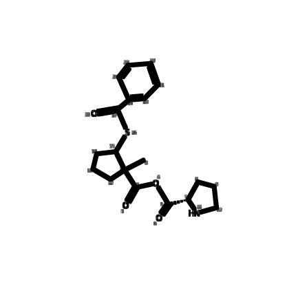 CC1(C(=O)OC(=O)[C@@H]2CCCN2)CCCC1SC(=O)c1ccccc1